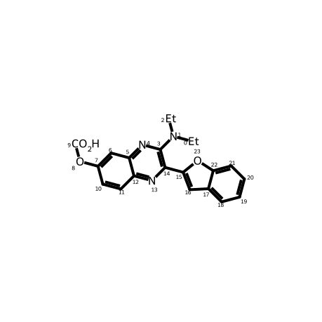 CCN(CC)c1nc2cc(OC(=O)O)ccc2nc1-c1cc2ccccc2o1